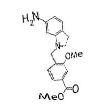 COC(=O)c1ccc(CN2CCc3ccc(N)cc32)c(OC)c1